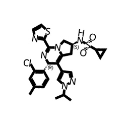 Cc1ccc([C@@H]2N=C(c3nccs3)N3C[C@@H](NS(=O)(=O)C4CC4)CC3=C2c2cnn(C(C)C)c2)c(Cl)c1